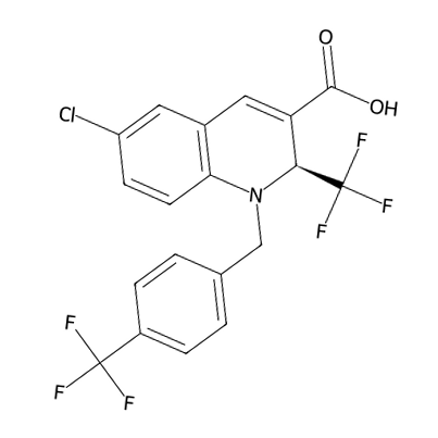 O=C(O)C1=Cc2cc(Cl)ccc2N(Cc2ccc(C(F)(F)F)cc2)[C@@H]1C(F)(F)F